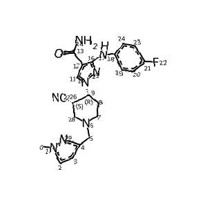 Cn1ccc(CN2CC[C@@H](n3cc(C(N)=O)c(Nc4ccc(F)cc4)n3)[C@@H](C#N)C2)n1